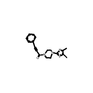 Cc1nc(N2CCN(C(=O)C#Cc3ccccc3)CC2)sc1C